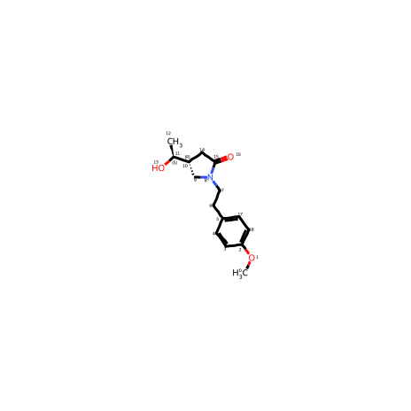 COc1ccc(CCN2C[C@H]([C@H](C)O)CC2=O)cc1